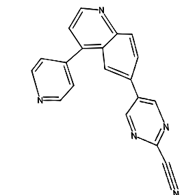 N#Cc1ncc(-c2ccc3nccc(-c4ccncc4)c3c2)cn1